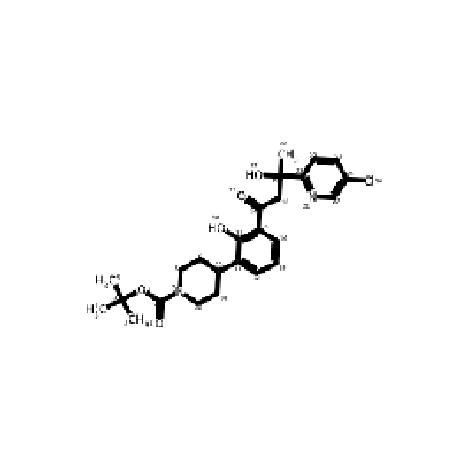 CC(C)(C)OC(=O)N1CCC(c2cccc(C(=O)CC(C)(O)c3ccc(Cl)cn3)c2O)CC1